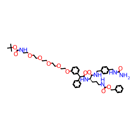 CC(C)(C)OC(=O)NCCOCCOCCOCCOCCOc1cccc(C(C(=O)N[C@H](CCCNC(=O)OCc2ccccc2)C(=O)NCc2ccc(CNC(N)=O)cc2)c2ccccc2)c1